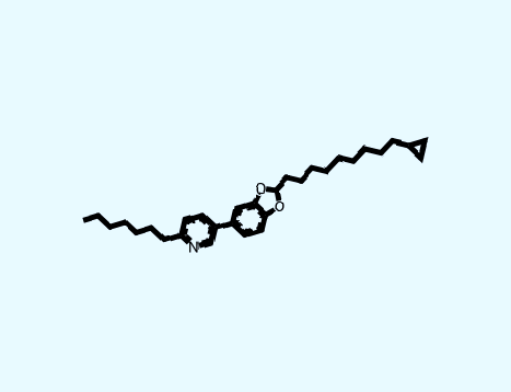 CCCCCCCc1ccc(-c2ccc3c(c2)OC(CCCCCCCCCC2CC2)O3)cn1